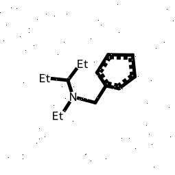 CCC(CC)N(CC)Cc1ccccc1